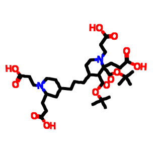 CC(C)(C)OC(=O)C1C(CCCC2CCN(CCC(=O)O)C(CCC(=O)O)C2)CCN(CCC(=O)O)C1(CCC(=O)O)C(=O)OC(C)(C)C